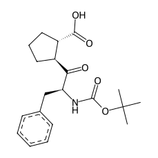 CC(C)(C)OC(=O)N[C@@H](Cc1ccccc1)C(=O)[C@H]1CCC[C@@H]1C(=O)O